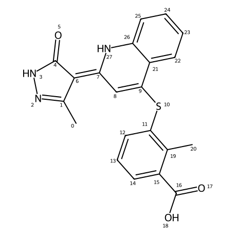 CC1=NNC(=O)/C1=C1/C=C(Sc2cccc(C(=O)O)c2C)c2ccccc2N1